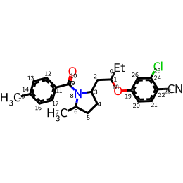 CCC(CC1CCC(C)N1C(=O)c1ccc(C)cc1)Oc1ccc(C#N)c(Cl)c1